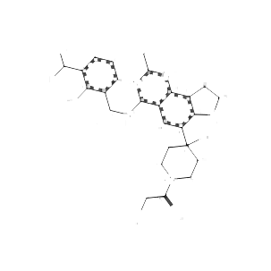 Cc1nc(N[C@H](C)c2cccc(C(F)F)c2F)c2cc(C3(O)CCN(C(=O)CF)CC3)c3c(c2n1)CCO3